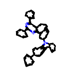 c1ccc(-c2ccc3c(c2)c2ccccc2n3-c2ccc3ccc4c(-c5ccccc5)nc(-c5ccccc5)nc4c3c2)cc1